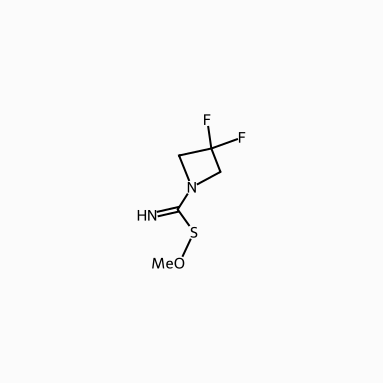 COSC(=N)N1CC(F)(F)C1